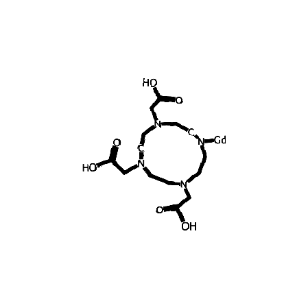 O=C(O)CN1CC[N]([Gd])CCN(CC(=O)O)CCN(CC(=O)O)CC1